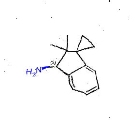 CC1(C)[C@H](N)c2ccccc2C12CC2